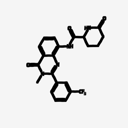 Cn1c(-c2cccc(C(F)(F)F)c2)nc2c(NC(=O)C3CCCC(=O)N3)cccc2c1=O